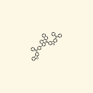 c1ccc(N(c2ccc(-c3ccc4c5c(cccc35)-c3c(ccc5ccccc35)N4c3ccc4sc5ccc(N(c6ccccc6)c6ccccc6)cc5c4c3)cc2)c2ccc3oc4ccccc4c3c2)cc1